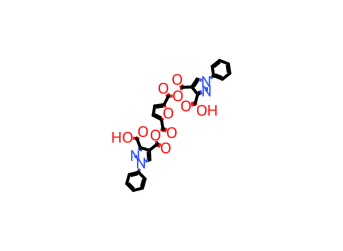 O=C(OC(=O)c1cn(-c2ccccc2)nc1C(=O)O)c1ccc(C(=O)OC(=O)c2cn(-c3ccccc3)nc2C(=O)O)o1